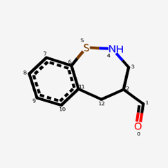 O=CC1CNSc2ccccc2C1